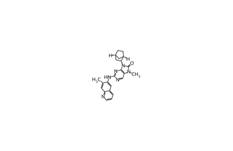 Cc1cc2ncccc2cc1Nc1ncc2c(n1)n([C@H]1C[C@@H]3CC[C@H]1C3)c(=O)n2C